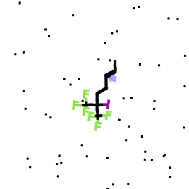 C/C=C/CCC(I)(C(F)(F)F)C(F)(F)F